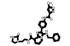 Cc1cc(C(=O)Nc2ccc(-c3nc4c(C(=O)NCCN5CCNC5=O)cccn4c3NCc3ccccc3)cc2)no1